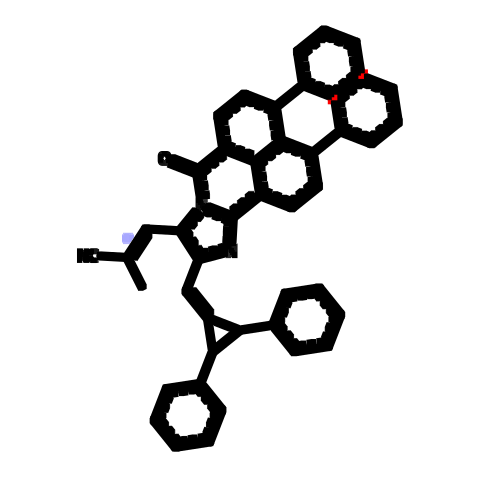 C/C(C#N)=C\c1c(C=C2C(c3ccccc3)C2c2ccccc2)nc2c3ccc(-c4ccccc4)c4c(-c5ccccc5)ccc(c(=O)n12)c43